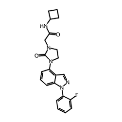 O=C(CN1CCN(c2cccc3c2cnn3-c2ccccc2F)C1=O)NC1CCC1